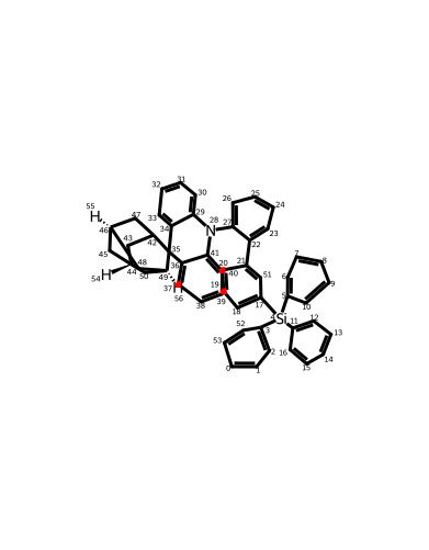 c1ccc([Si](c2ccccc2)(c2ccccc2)c2cccc(-c3ccccc3N3c4ccccc4C4(c5ccccc53)C3C[C@H]5C[C@@H](C3)C[C@@H]4C5)c2)cc1